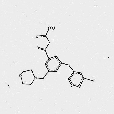 O=C(O)C(=O)CC(=O)c1cc(Cc2cccc(F)c2)cc(CN2CCOCC2)c1